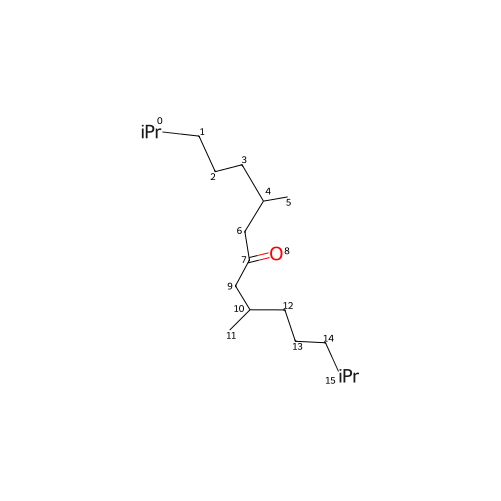 CC(C)CCCC(C)CC(=O)CC(C)CCCC(C)C